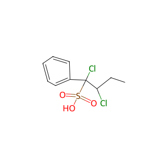 CCC(Cl)C(Cl)(c1ccccc1)S(=O)(=O)O